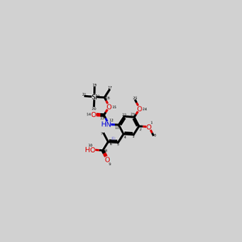 COc1cc(/C=C(\C)C(=O)O)c(NC(=O)OC(C)[Si](C)(C)C)cc1OC